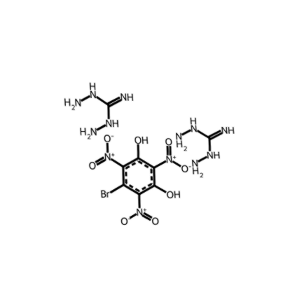 N=C(NN)NN.N=C(NN)NN.O=[N+]([O-])c1c(O)c([N+](=O)[O-])c(Br)c([N+](=O)[O-])c1O